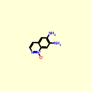 Nc1cc2ccn[n+]([O-])c2cc1N